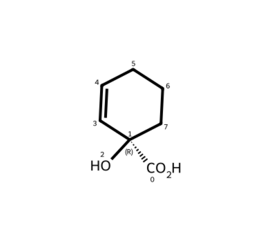 O=C(O)[C@]1(O)C=CCCC1